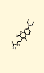 CCN(CC)c1ccc2c(C)c(CCNC(=O)O)c(=O)oc2c1